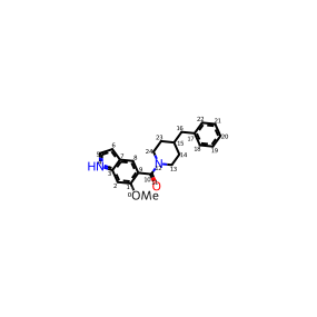 COc1cc2[nH]ccc2cc1C(=O)N1CCC(Cc2ccccc2)CC1